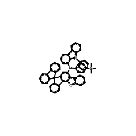 C[Si](C)(C)c1ccc(N(c2cc3c(c4oc5ccccc5c24)-c2ccccc2C32c3ccccc3-c3ccccc32)c2cccc3c4ccccc4n(-c4ccccc4)c23)cc1